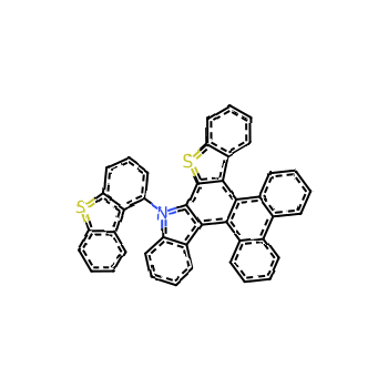 c1ccc2c(c1)sc1cccc(-n3c4ccccc4c4c5c6ccccc6c6ccccc6c5c5c6ccccc6sc5c43)c12